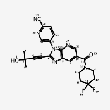 CC(C)(O)C#Cc1nc2cc(C(=O)N3CCC(F)(F)CC3)cnc2n1-c1ccc(C#N)nc1